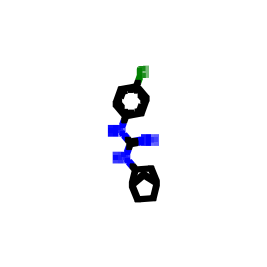 N=C(Nc1ccc(Cl)cc1)NC1CC2CCC1C2